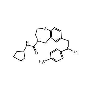 CC(=O)N(Cc1ccc2c(c1)CN(C(=O)NC1CCCC1)CCO2)c1ccc(C)cc1